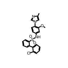 COc1cc(NS(=O)(=O)c2ccccc2-c2ccccc2Cl)ccc1-n1cnc(C)c1